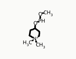 COPOC1CC[N+](C)(C)CC1